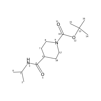 CC(C)NC(=O)C1CCN(C(=O)OC(C)(C)C)CC1